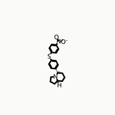 O=[N+]([O-])c1ccc(Sc2ccc([C@@H]3CCC[C@@H]4CCCN43)cc2)cc1